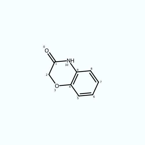 O=C1COc2[c]cccc2N1